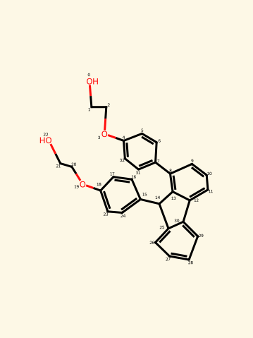 OCCOc1ccc(-c2cccc3c2C(c2ccc(OCCO)cc2)c2ccccc2-3)cc1